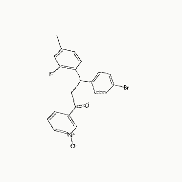 Cc1ccc(C(CC(=O)c2ccc[n+]([O-])c2)c2ccc(Br)cc2)c(F)c1